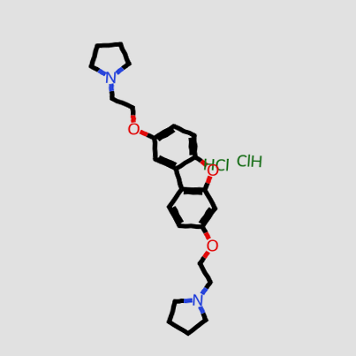 Cl.Cl.c1cc2c(cc1OCCN1CCCC1)oc1ccc(OCCN3CCCC3)cc12